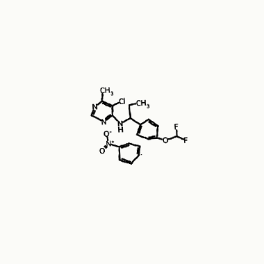 CCC(Nc1ncnc(C)c1Cl)c1ccc(OC(F)F)cc1.O=[N+]([O-])c1cc[c]cc1